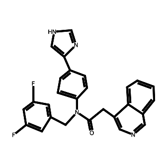 O=C(Cc1cncc2ccccc12)N(Cc1cc(F)cc(F)c1)c1ccc(-c2c[nH]cn2)cc1